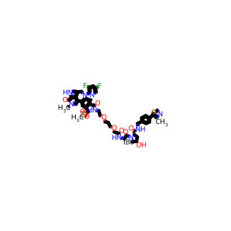 Cc1ncsc1-c1ccc(CNC(=O)[C@@H]2C[C@@H](O)CN2C(=O)[C@@H](NC(=O)COCCCOCCNC(=O)c2cc3c(cc2CS(C)(=O)=O)-c2cn(C)c(=O)c4[nH]cc(c24)CN3c2ncc(F)cc2F)C(C)(C)C)cc1